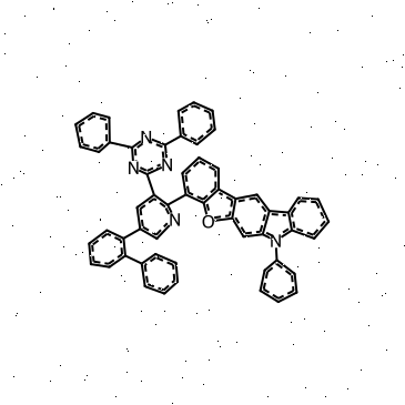 c1ccc(-c2nc(-c3ccccc3)nc(-c3cc(-c4ccccc4-c4ccccc4)cnc3-c3cccc4c3oc3cc5c(cc34)c3ccccc3n5-c3ccccc3)n2)cc1